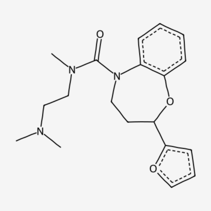 CN(C)CCN(C)C(=O)N1CCC(c2ccco2)Oc2ccccc21